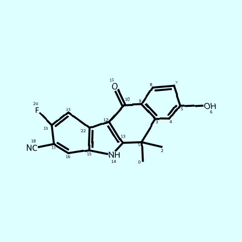 CC1(C)c2cc(O)ccc2C(=O)c2c1[nH]c1cc(C#N)c(F)cc21